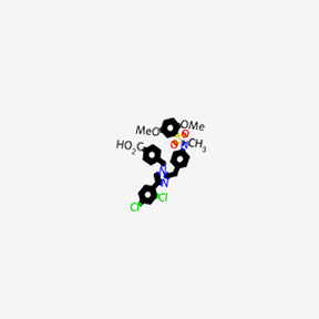 COc1ccc(OC)c(S(=O)(=O)N(C)c2ccc(Cc3nc(-c4ccc(Cl)cc4Cl)cn3Cc3ccc(C(=O)O)cc3)cc2)c1